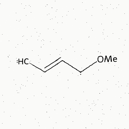 [CH]C=C[CH]OC